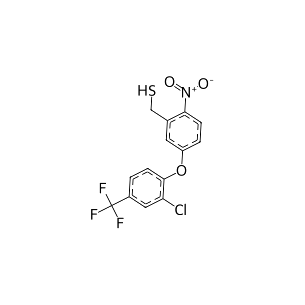 O=[N+]([O-])c1ccc(Oc2ccc(C(F)(F)F)cc2Cl)cc1CS